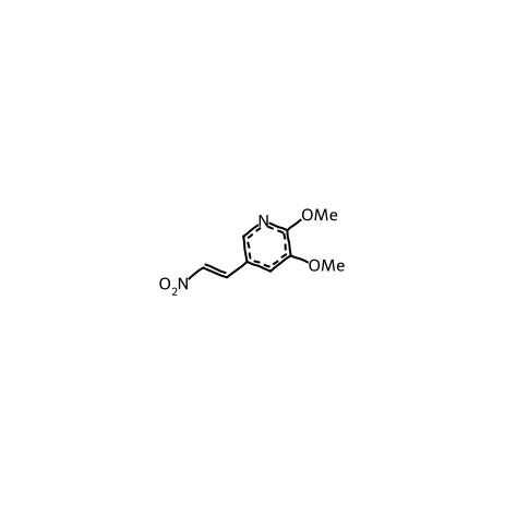 COc1cc(/C=C/[N+](=O)[O-])cnc1OC